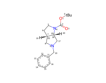 CC(C)(C)OC(=O)N1CC[C@H]2CN(Cc3ccccc3)C[C@H]21